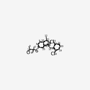 CC(=O)C(C)(C)Sc1ccc2c(C)nn(Cc3c(Cl)cccc3Cl)c2c1